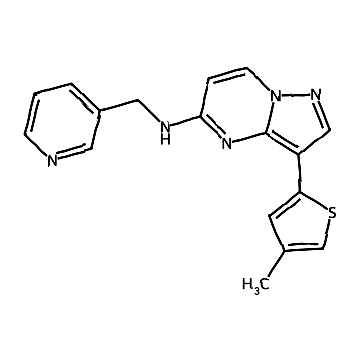 Cc1csc(-c2cnn3ccc(NCc4cccnc4)nc23)c1